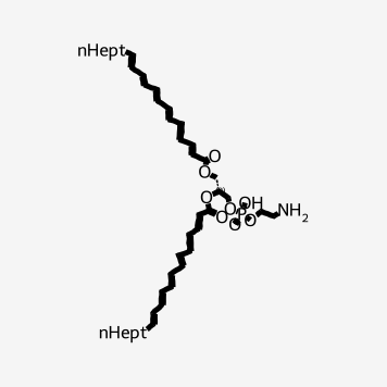 CCCCCCCC=CC=CC=CC=CC=CC=CC(=O)OC[C@H](COP(=O)(O)OCCN)OC(=O)C=CC=CC=CC=CC=CC=CCCCCCCC